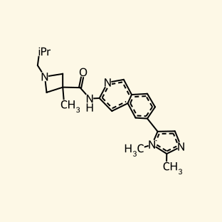 Cc1ncc(-c2ccc3cnc(NC(=O)C4(C)CN(CC(C)C)C4)cc3c2)n1C